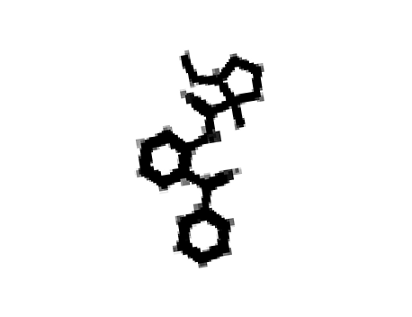 CCN1CCCC1(C)C(=O)Nc1ccccc1C(=O)c1ccccc1